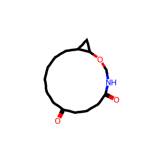 O=C1CCCCCCC2CC2OCNC(=O)CCC1